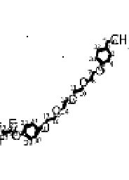 C=Cc1ccc(OCCOCCOCCOCCOc2ccc(OC(F)=C(F)F)cc2)cc1